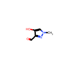 Cn1cc(O)c(C=O)n1